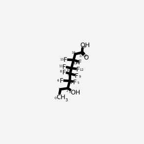 CCC(O)C(F)(F)C(F)(F)C(F)(F)C(F)(F)CC(=O)O